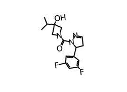 CC(C)C1(O)CN(C(=O)N2N=CCC2c2cc(F)cc(F)c2)C1